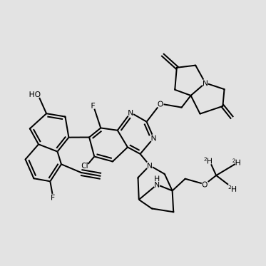 [2H]C([2H])([2H])OCC12CCC(CN(c3nc(OCC45CC(=C)CN4CC(=C)C5)nc4c(F)c(-c5cc(O)cc6ccc(F)c(C#C)c56)c(Cl)cc34)C1)N2